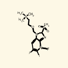 C[Si](C)(C)CCOCN1C2=CC(F)=C(I)N(F)C2=NC1S(C)(=O)=O